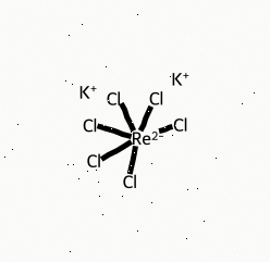 [Cl][Re-2]([Cl])([Cl])([Cl])([Cl])[Cl].[K+].[K+]